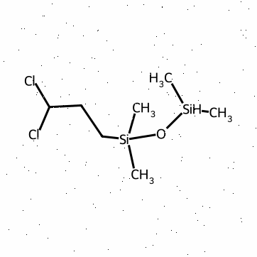 C[SiH](C)O[Si](C)(C)CCC(Cl)Cl